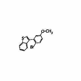 COc1ccc(Br)c(-c2csc3ccccc23)c1